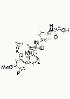 COc1cc(OCC2CC2)c(-c2ccnc3c(C(=O)N[C@H]4CC[C@H](NC(=O)CO)CC4)c(C)[nH]c23)cc1F